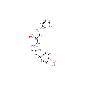 CCOc1ccc(CC(C)(C)NCC(O)COc2ccccc2)cc1